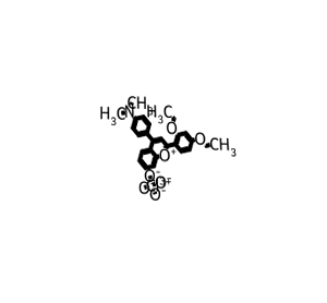 CCOc1ccc(-c2cc(-c3ccc(N(C)C)cc3)c3ccccc3[o+]2)c(OCC)c1.[O-][Cl+3]([O-])([O-])[O-]